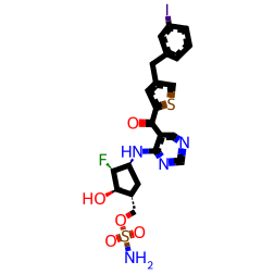 NS(=O)(=O)OC[C@H]1C[C@@H](Nc2ncncc2C(=O)c2cc(Cc3cccc(I)c3)cs2)[C@@H](F)[C@@H]1O